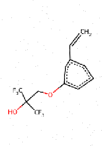 C=Cc1cccc(OCC(O)(C(F)(F)F)C(F)(F)F)c1